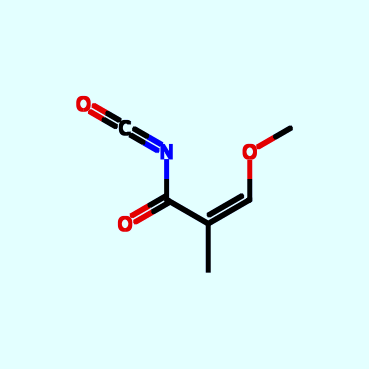 CO/C=C(/C)C(=O)N=C=O